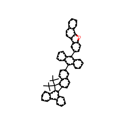 CC(C)(C)C1(C(C)(C)C)c2c(ccc3cc(-c4c5ccccc5c(-c5ccc6oc7c8ccccc8ccc7c6c5)c5ccccc45)ccc23)-c2c1c1ccccc1c1ccccc21